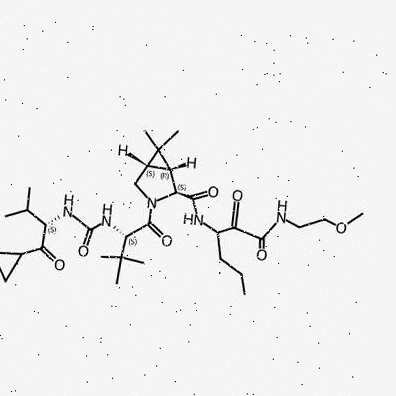 CCCC(NC(=O)[C@@H]1[C@@H]2[C@H](CN1C(=O)[C@@H](NC(=O)N[C@H](C(=O)C1CC1)C(C)C)C(C)(C)C)C2(C)C)C(=O)C(=O)NCCOC